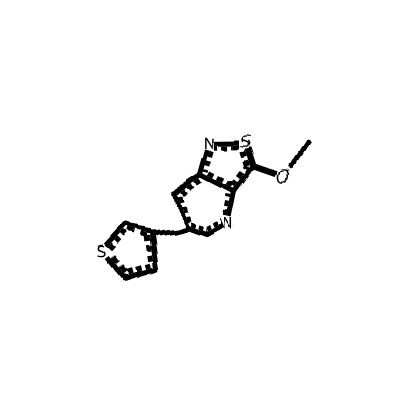 COc1snc2cc(-c3ccsc3)cnc12